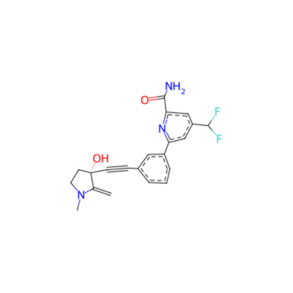 C=C1N(C)CC[C@@]1(O)C#Cc1cccc(-c2cc(C(F)F)cc(C(N)=O)n2)c1